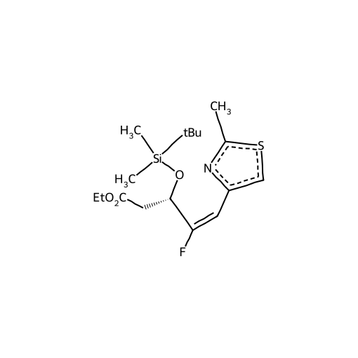 CCOC(=O)C[C@H](O[Si](C)(C)C(C)(C)C)/C(F)=C\c1csc(C)n1